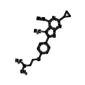 CNc1nc(C2CC2)nc2sc(-c3ccc(OCCN(C)C)cc3)c(C)c12